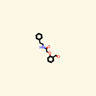 O=Cc1ccccc1OCC(=O)NCCc1ccccc1